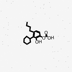 CCCCc1ccc(OC(=O)O)c(O)c1C1CCCCC1